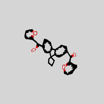 O=C(c1ccc2c(c1)C1(CCCC1)c1cc(C(=O)c3ccco3)ccc1-2)c1ccco1